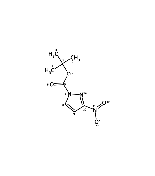 CC(C)(C)OC(=O)n1ccc([N+](=O)[O-])n1